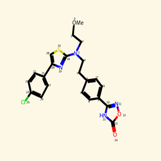 COCCN(CCc1ccc(-c2noc(=O)[nH]2)cc1)c1nc(-c2ccc(Cl)cc2)cs1